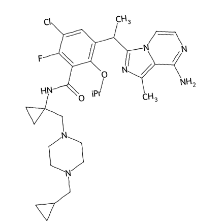 Cc1nc(C(C)c2cc(Cl)c(F)c(C(=O)NC3(CN4CCN(CC5CC5)CC4)CC3)c2OC(C)C)n2ccnc(N)c12